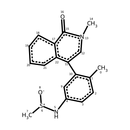 Cc1ccc(N[S+](C)[O-])cc1-c1cn(C)c(=O)c2ccccc12